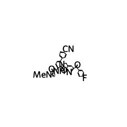 CN[C@@H](C)C(=O)Nc1ccc(-c2ccc(C#N)cc2)n(Cc2cncc(C(=O)c3ccc(F)cc3)c2)c1=O